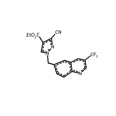 CCOC(=O)c1cn(Cc2ccc3ncc(C(F)(F)F)cc3c2)nc1C#N